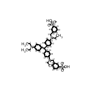 CCN(CC)c1ccc(C(c2ccc(N(CC)Cc3cccc(S(=O)(=O)O)c3)cc2)c2ccc(N(CC)Cc3cccc(S(=O)(=O)O)c3)cc2)cc1